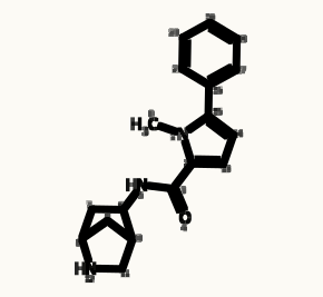 Cn1c(C(=O)NC2CC3CC2CN3)ccc1-c1ccccc1